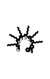 CCCCCCc1cc(-c2sc(-c3sc(-c4sc(-c5sc(-c6sc(C=O)cc6CCCCCC)cc5CCCCCC)cc4CCCCCC)cc3CCCCCC)cc2CCCCCC)sc1-c1ccc2c(c1)c1ccccc1n2CC